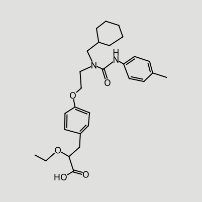 CCOC(Cc1ccc(OCCN(CC2CCCCC2)C(=O)Nc2ccc(C)cc2)cc1)C(=O)O